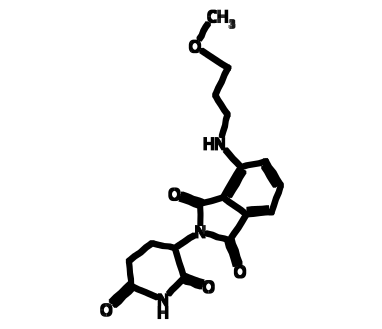 COCCCNc1cccc2c1C(=O)N(C1CCC(=O)NC1=O)C2=O